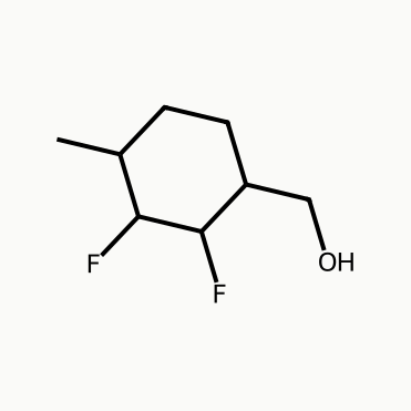 CC1CCC(CO)C(F)C1F